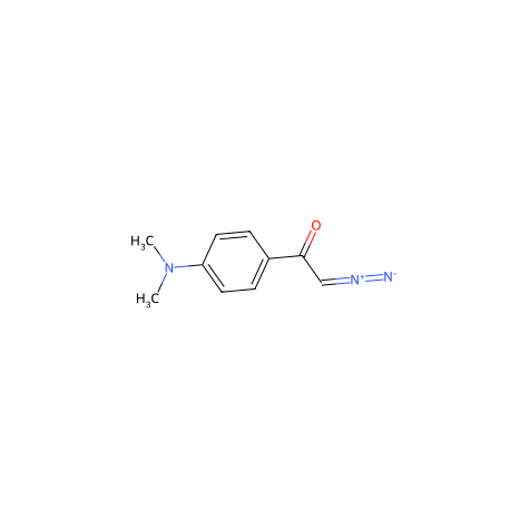 CN(C)c1ccc(C(=O)C=[N+]=[N-])cc1